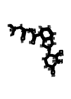 CN(C)CC(=O)NC(=O)c1cccc2c1CN(C1CCC(=O)NC1=O)C2